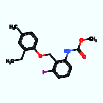 CCc1cc(C)ccc1OCc1c(I)cccc1NC(=O)OC